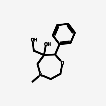 CN1CCOC(c2ccccc2)C(O)(CO)C1